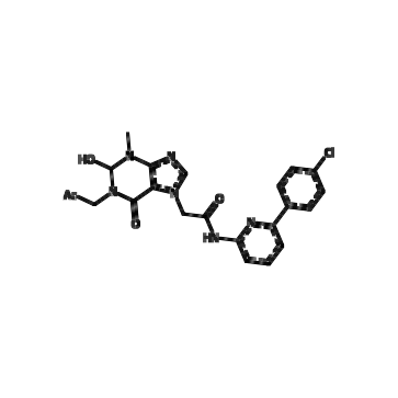 CC(=O)CN1C(=O)c2c(ncn2CC(=O)Nc2cccc(-c3ccc(Cl)cc3)n2)N(C)C1O